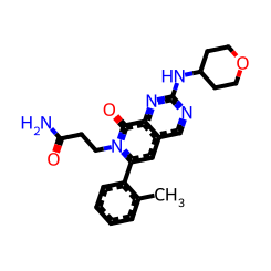 Cc1ccccc1-c1cc2cnc(NC3CCOCC3)nc2c(=O)n1CCC(N)=O